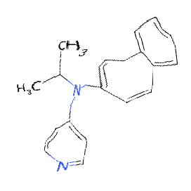 CC(C)N(c1ccncc1)c1ccc2ccccc2c1